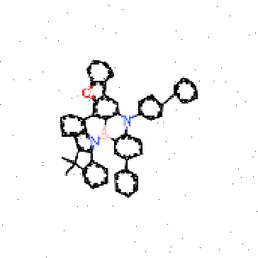 CC1(C)c2ccccc2-c2c1c1cccc3c1n2B1c2cc(-c4ccccc4)ccc2N(c2ccc(-c4ccccc4)cc2)c2cc4c(oc5ccccc54)c-3c21